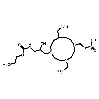 COCCOC(=O)NCC(O)CN1CCN(CC(=O)O)CCN(CO[PH](=O)O)CCN(CC(=O)O)CC1